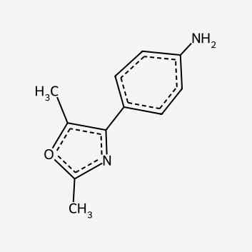 Cc1nc(-c2ccc(N)cc2)c(C)o1